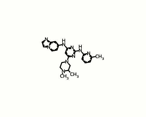 Cc1cccc(Nc2nc(Nc3ccn4ccnc4c3)cc(N3CCN(C)C(C)C3)n2)n1